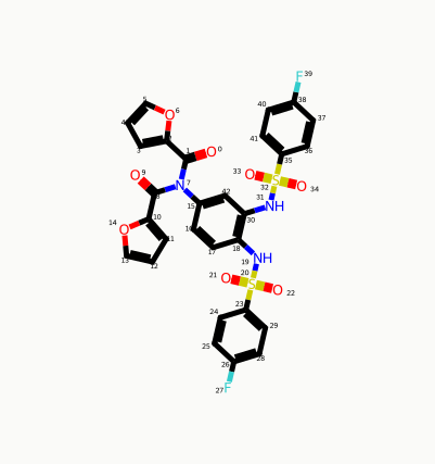 O=C(c1ccco1)N(C(=O)c1ccco1)c1ccc(NS(=O)(=O)c2ccc(F)cc2)c(NS(=O)(=O)c2ccc(F)cc2)c1